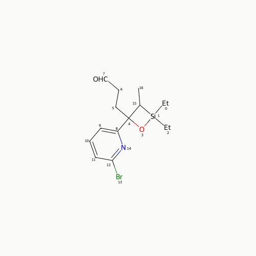 CC[Si]1(CC)OC(CCC=O)(c2cccc(Br)n2)C1C